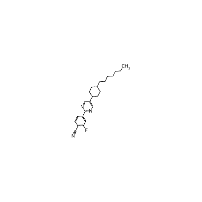 CCCCCCCC1CCC(c2cnc(-c3ccc(C#N)c(F)c3)nc2)CC1